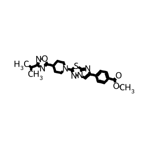 COC(=O)c1ccc(-c2cn3nc(N4CCC(c5nc(C(C)C)no5)CC4)sc3n2)cc1